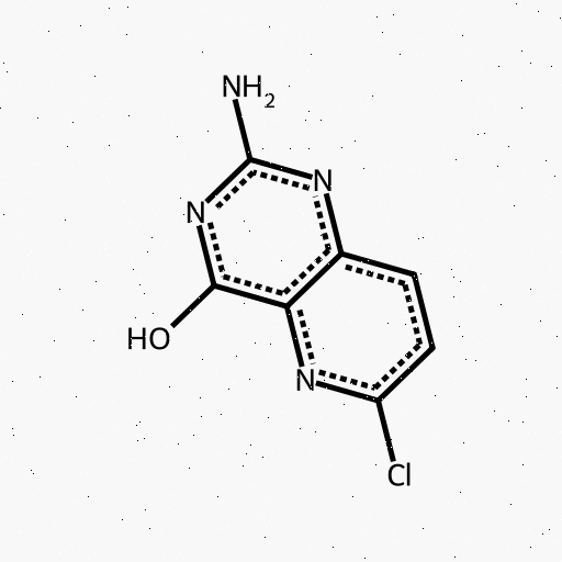 Nc1nc(O)c2nc(Cl)ccc2n1